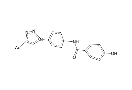 CC(=O)c1cn(-c2ccc(NC(=O)c3ccc(O)cc3)cc2)nn1